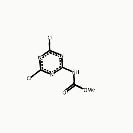 COC(=O)Nc1nc(Cl)nc(Cl)n1